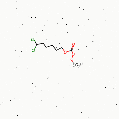 O=C(O)OOC(=O)OCCCCCC(Cl)Cl